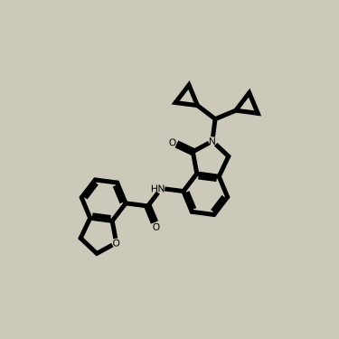 O=C(Nc1cccc2c1C(=O)N(C(C1CC1)C1CC1)C2)c1cccc2c1OCC2